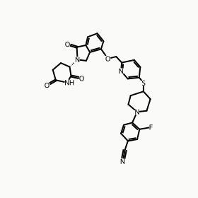 N#Cc1ccc(N2CCC(Sc3ccc(COc4cccc5c4CN([C@H]4CCC(=O)NC4=O)C5=O)nc3)CC2)c(F)c1